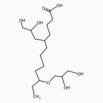 CCC(CCCCC(CCCC(=O)O)CC(O)CO)OCC(O)CO